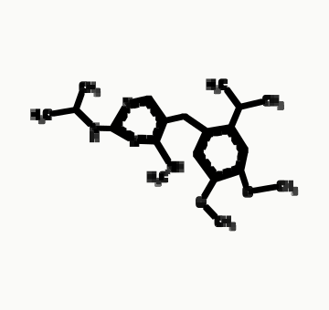 CNc1nc(NC(C)C)ncc1Cc1cc(OC)c(OC)cc1C(C)C